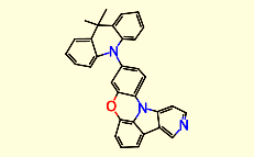 CC1(C)c2ccccc2N(c2ccc3c(c2)Oc2cccc4c5cnccc5n-3c24)c2ccccc21